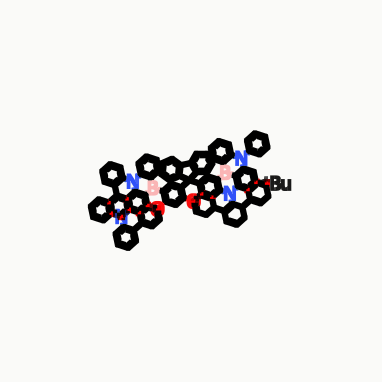 CC(C)(C)c1cc2c3c(c1)N(c1ccccc1)c1ccccc1B3c1cc3c(cc1N2C1=C(C2C=CC=CC2)C=CCC1C1=CCCC=C1)Oc1cc2c(cc1C31c3ccccc3-c3ccccc31)B1c3ccccc3N(c3ccccc3-c3ccccc3)c3cc(N(c4ccccc4)c4ccccc4-c4ccccc4)cc(c31)O2